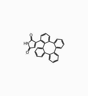 O=C1C=C(c2cccc3c2-c2ccccc2-c2ccccc2-c2ccccc2-3)C(=O)N1